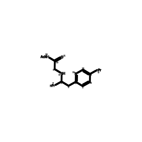 CCCc1ccc(CC(CCC)NCC(=O)NC(C)=O)nc1